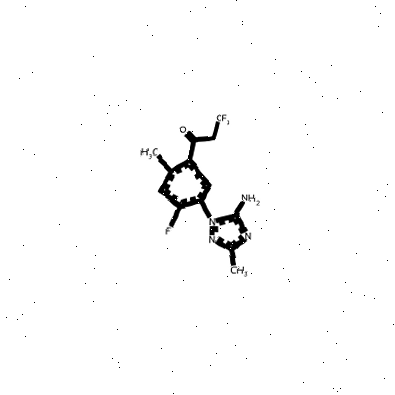 Cc1nc(N)n(-c2cc(C(=O)CC(F)(F)F)c(C)cc2F)n1